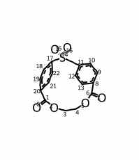 O=C1OCCOC(=O)c2ccc(cc2)S(=O)(=O)c2ccc1cc2